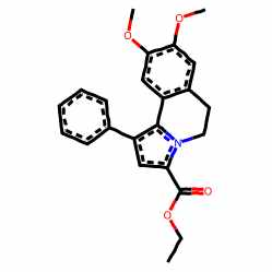 CCOC(=O)c1cc(-c2ccccc2)c2n1CCc1cc(OC)c(OC)cc1-2